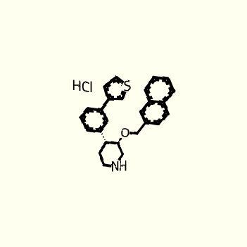 Cl.c1cc(-c2ccsc2)cc([C@H]2CCNC[C@@H]2OCc2ccc3ccccc3c2)c1